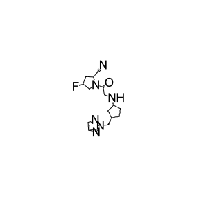 N#C[C@@H]1C[C@H](F)CN1C(=O)CN[C@H]1CC[C@@H](Cn2nccn2)C1